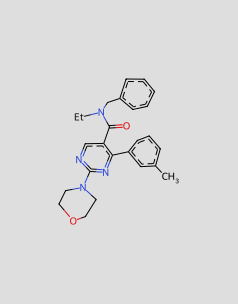 CCN(Cc1ccccc1)C(=O)c1cnc(N2CCOCC2)nc1-c1cccc(C)c1